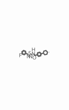 O=C(Nc1nnc(-c2cccc(F)c2)s1)c1ccc(C2CC[CH]CC2)cc1